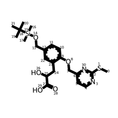 CSc1nccc(COc2ccc(CO[Si](C)(C)C(C)(C)C)cc2CC(O)C(=O)O)n1